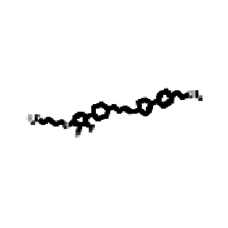 CCCCCOc1ccc(C2CCC(CC/C=C/C3CC=C(c4ccc(CCC)cc4)CC3)CC2)c(F)c1F